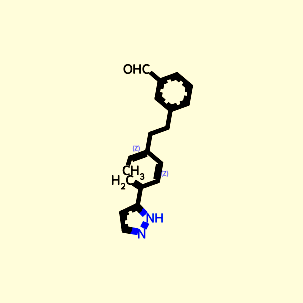 C=C(/C=C\C(=C/C)CCc1cccc(C=O)c1)c1ccn[nH]1